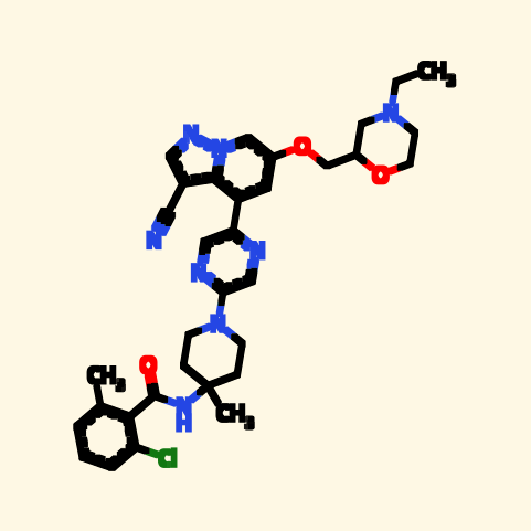 CCN1CCOC(COc2cc(-c3cnc(N4CCC(C)(NC(=O)c5c(C)cccc5Cl)CC4)cn3)c3c(C#N)cnn3c2)C1